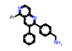 CC(C)c1nccc2nc(-c3ccc(CN)cc3)c(-c3ccccc3)cc12